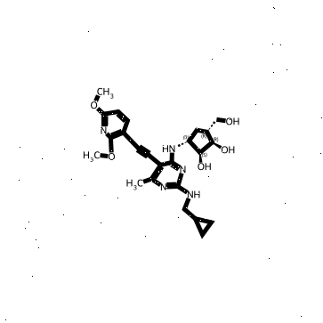 COc1ccc(C#Cc2c(C)nc(NCC3CC3)nc2N[C@@H]2C[C@H](CO)[C@@H](O)[C@H]2O)c(OC)n1